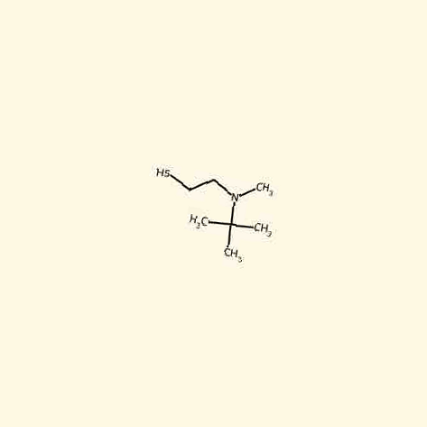 CN(CCS)C(C)(C)C